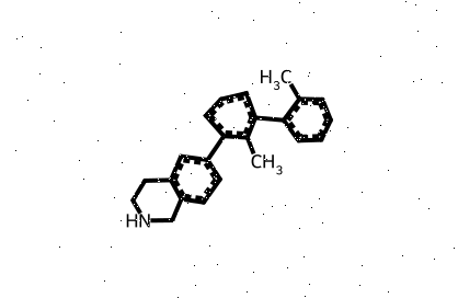 Cc1ccccc1-c1cccc(-c2ccc3c(c2)CCNC3)c1C